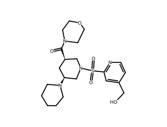 O=C([C@@H]1C[C@H](N2CCCCC2)CN(S(=O)(=O)c2cc(CO)ccn2)C1)N1CCOCC1